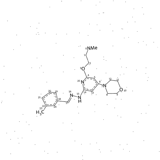 CNCCOc1cc(N2CCOCC2)cc(NN=Cc2cccc(C)c2)n1